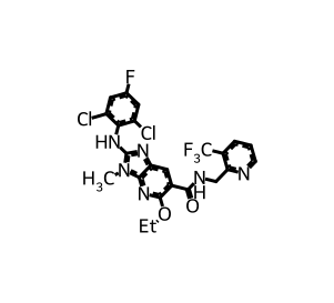 CCOc1nc2c(cc1C(=O)NCc1ncccc1C(F)(F)F)nc(Nc1c(Cl)cc(F)cc1Cl)n2C